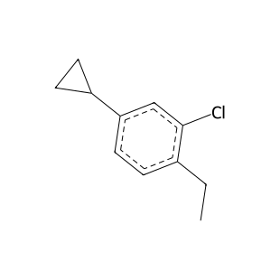 CCc1ccc(C2CC2)cc1Cl